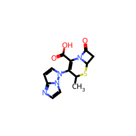 CC1SC2CC(=O)N2C(C(=O)O)=C1n1ccc2nccn21